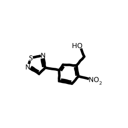 O=[N+]([O-])c1ccc(-c2cnsn2)cc1CO